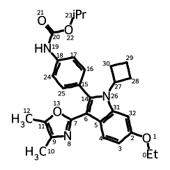 CCOc1ccc2c(-c3nc(C)c(C)o3)c(-c3ccc(NC(=O)OC(C)C)cc3)n(C3CCC3)c2c1